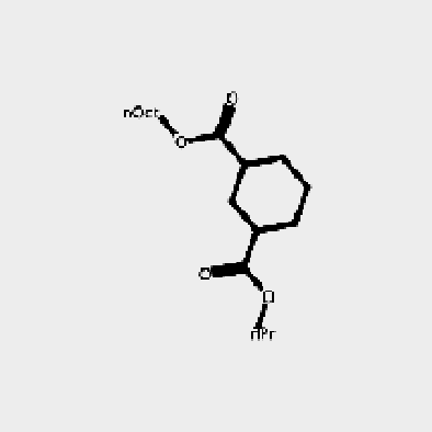 CCCCCCCCOC(=O)C1CCCC(C(=O)OCCC)C1